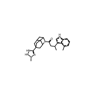 Cc1cccc2[nH]cc(C(C)CC(=O)N3C4CC5CC3CC(C3=NN(C)NN3)(C5)C4)c12